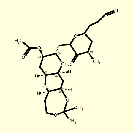 C=C1C(C[C@@H]2O[C@H]3C[C@H]4OC(C)(C)OCC[C@H]4O[C@H]3C[C@H]2OC(C)=O)OC(CCC=O)C[C@H]1C